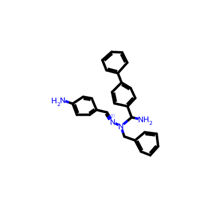 Nc1ccc(/C=N/N(Cc2ccccc2)C(N)c2ccc(-c3ccccc3)cc2)cc1